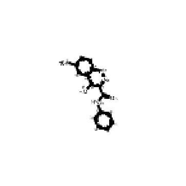 CC(C)(C)c1ccc2nnc(C(=O)Nc3ccccc3)c(O)c2c1